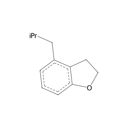 CC(C)Cc1cccc2c1CCO2